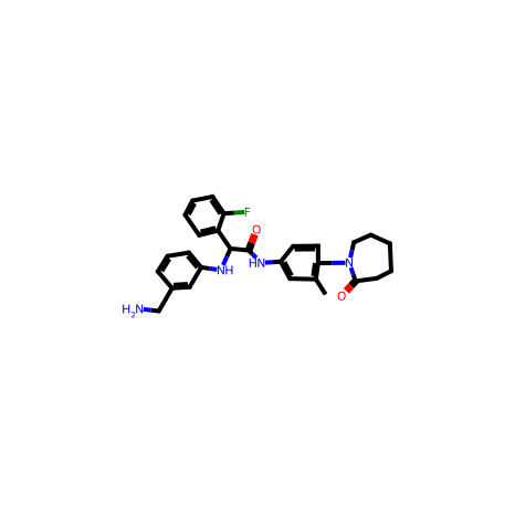 Cc1cc(NC(=O)C(Nc2cccc(CN)c2)c2ccccc2F)ccc1N1CCCCCC1=O